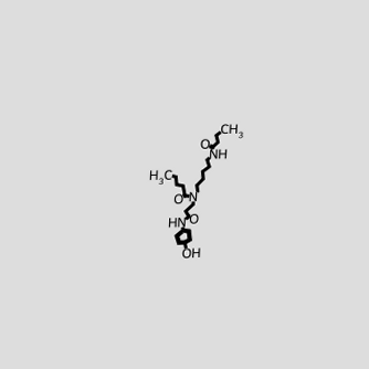 CCCCC(=O)N(CCCCCCNC(=O)CCC)CCC(=O)Nc1ccc(O)cc1